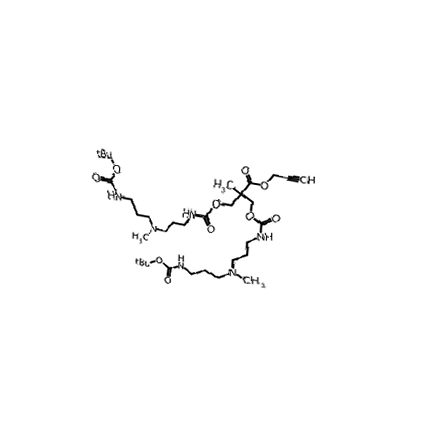 C#CCOC(=O)C(C)(COC(=O)NCCCN(C)CCCNC(=O)OC(C)(C)C)COC(=O)NCCCN(C)CCCNC(=O)OC(C)(C)C